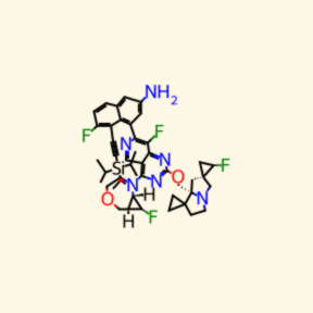 CC(C)[Si](C#Cc1c(F)ccc2cc(N)cc(-c3ncc4c(N5CCOC[C@H]6[C@H](F)[C@H]65)nc(OC[C@]56C[C@@]7(C[C@H]7F)CN5CCC65CC5)nc4c3F)c12)(C(C)C)C(C)C